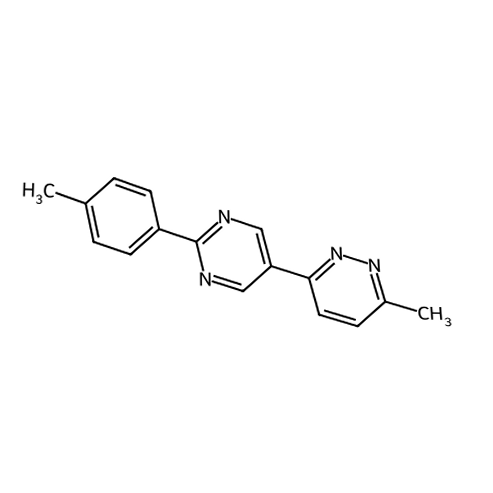 Cc1ccc(-c2ncc(-c3ccc(C)nn3)cn2)cc1